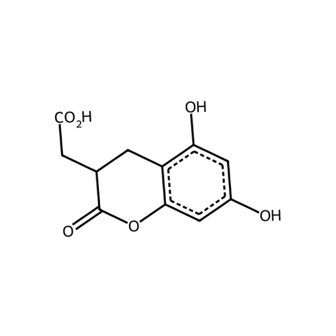 O=C(O)CC1Cc2c(O)cc(O)cc2OC1=O